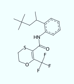 CC(CC(C)(C)C)c1ccccc1NC(=O)C1=C(C(F)(F)F)OCCS1